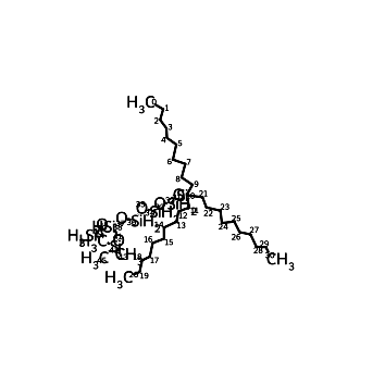 CCCCCCCCCC[Si](CCCCCCCCCC)(CCCCCCCCCC)O[SiH2]O[SiH2]O[SiH2]O[SiH](O[SiH3])O[Si](C)(C)C